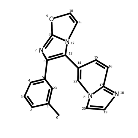 Cc1cccc(-c2nc3occn3c2-c2ccc3nccn3c2)c1